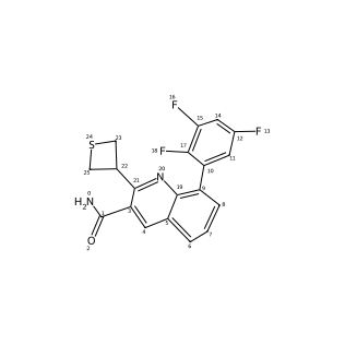 NC(=O)c1cc2cccc(-c3cc(F)cc(F)c3F)c2nc1C1CSC1